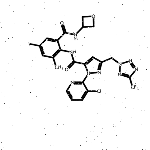 Cc1cc(I)cc(C(=O)NC2COC2)c1NC(=O)c1cc(Cn2nnc(C(F)(F)F)n2)nn1-c1ncccc1Cl